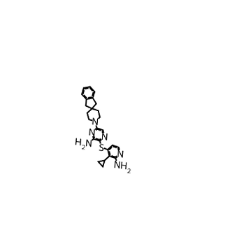 Nc1nc(N2CCC3(CC2)Cc2ccccc2C3)cnc1Sc1ccnc(N)c1C1CC1